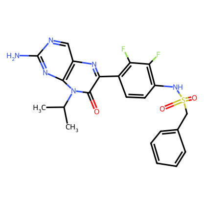 CC(C)n1c(=O)c(-c2ccc(NS(=O)(=O)Cc3ccccc3)c(F)c2F)nc2cnc(N)nc21